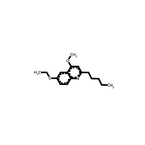 CCCCCc1cc(OC)c2cc(OCC)ccc2n1